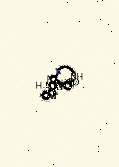 Nc1ncc2c3c1c(-c1cnc4ccccc4c1)nn3[C@@H]1CCC[C@H](C1)C(=O)NCCCCC/C=C/2